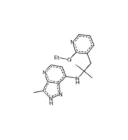 CCOc1ncccc1CC(C)(C)Nc1ccnc2c(C)[nH]nc12